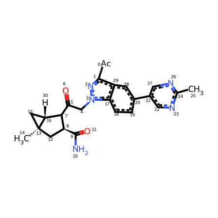 CC(=O)c1nn(CC(=O)C2[C@@H](C(N)=O)C[C@@]3(C)C[C@H]23)c2ccc(-c3cnc(C)nc3)cc12